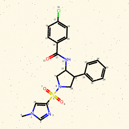 Cn1cnc(S(=O)(=O)N2CC(NC(=O)c3ccc(Cl)cc3)C(c3ccccc3)C2)c1